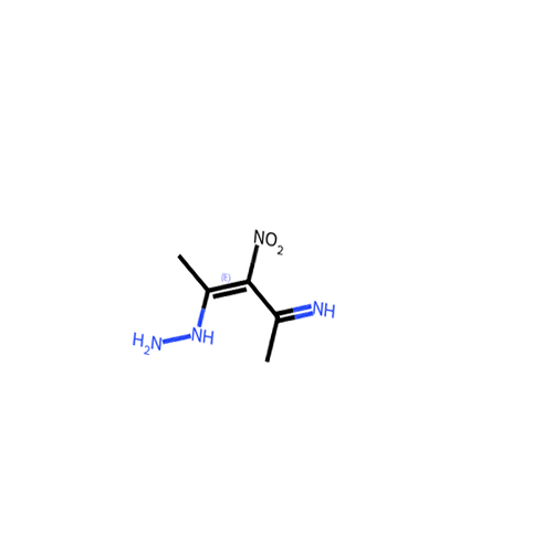 CC(=N)/C(=C(/C)NN)[N+](=O)[O-]